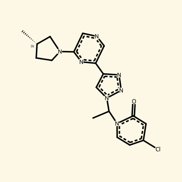 CC(n1cc(-c2cncc(N3CC[C@H](C)C3)n2)nn1)n1ccc(Cl)cc1=O